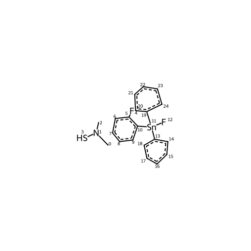 CN(C)S.Fc1cccc[c]1[Sn]([F])([c]1ccccc1)[c]1ccccc1